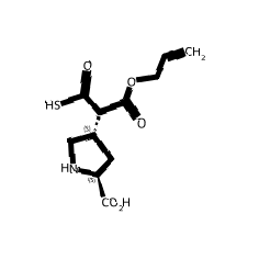 C=CCOC(=O)C(C(=O)S)[C@H]1CN[C@H](C(=O)O)C1